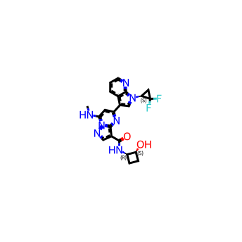 CNc1cc(-c2cn([C@H]3CC3(F)F)c3ncccc23)nc2c(C(=O)N[C@@H]3CC[C@@H]3O)cnn12